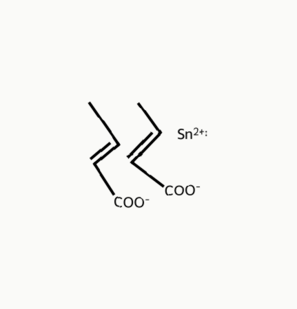 CC=CC(=O)[O-].CC=CC(=O)[O-].[Sn+2]